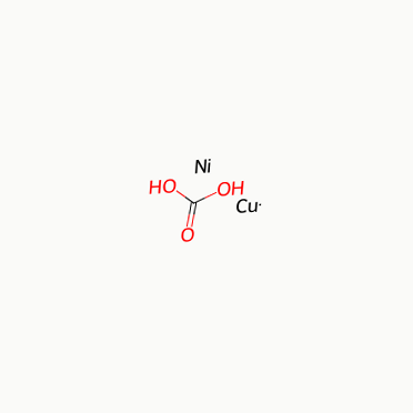 O=C(O)O.[Cu].[Ni]